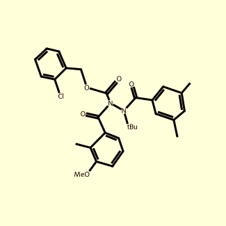 COc1cccc(C(=O)N(C(=O)OCc2ccccc2Cl)N(C(=O)c2cc(C)cc(C)c2)C(C)(C)C)c1C